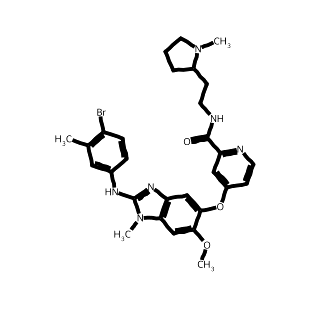 COc1cc2c(cc1Oc1ccnc(C(=O)NCCC3CCCN3C)c1)nc(Nc1ccc(Br)c(C)c1)n2C